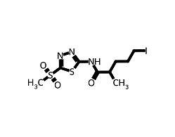 CC(CCCI)C(=O)Nc1nnc(S(C)(=O)=O)s1